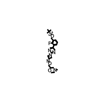 CN1CCOC(CON=C2CN(c3ncc(-c4cccc(CO[Si](C)(C)C(C)(C)C)c4F)cn3)C2)C1